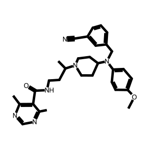 COc1ccc(N(Cc2cccc(C#N)c2)C2CCN(C(C)CCNC(=O)c3c(C)ncnc3C)CC2)cc1